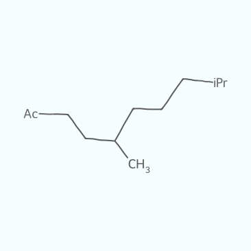 [CH2]C(=O)CCC(C)CCCC(C)C